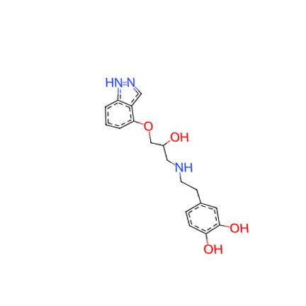 Oc1ccc(CCNCC(O)COc2cccc3[nH]ncc23)cc1O